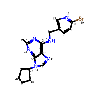 Cc1nc(NCc2ccc(Br)nc2)c2ncn(C3CCCC3)c2n1